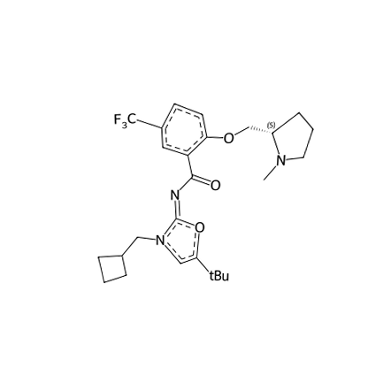 CN1CCC[C@H]1COc1ccc(C(F)(F)F)cc1C(=O)N=c1oc(C(C)(C)C)cn1CC1CCC1